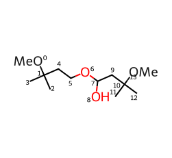 COC(C)(C)CCOC(O)CC(C)(C)OC